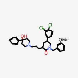 COc1cccc(CN2CC(c3ccc(Cl)c(Cl)c3)CC(CCCN3CCC(O)(c4ccccc4)CC3)C2=O)c1